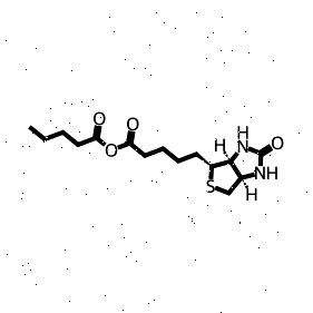 CCCCC(=O)OC(=O)CCCC[C@@H]1SC[C@@H]2NC(=O)N[C@@H]21